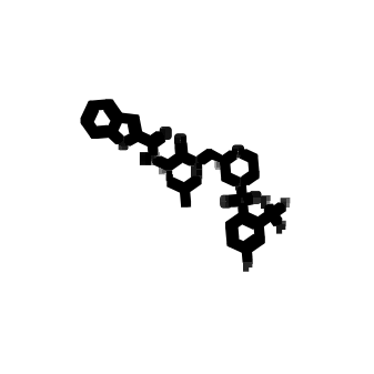 CC(C)C[C@H](NC(=O)c1cc2ccccc2s1)C(=O)NC[C@@H]1CN(S(=O)(=O)c2ccc(F)cc2C(F)(F)F)CCO1